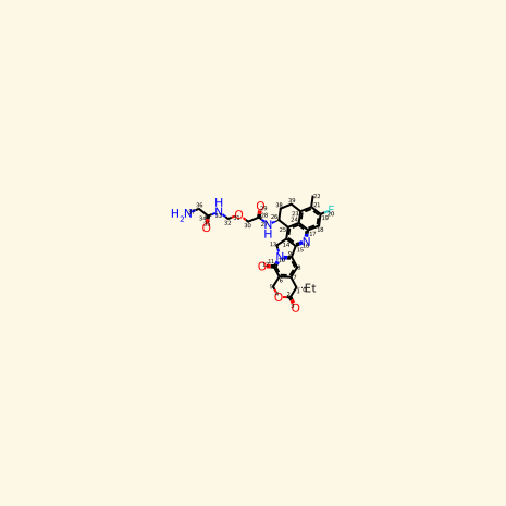 CC[C@@H]1C(=O)OCc2c1cc1n(c2=O)Cc2c-1nc1cc(F)c(C)c3c1c2[C@@H](NC(=O)COCNC(=O)CN)CC3